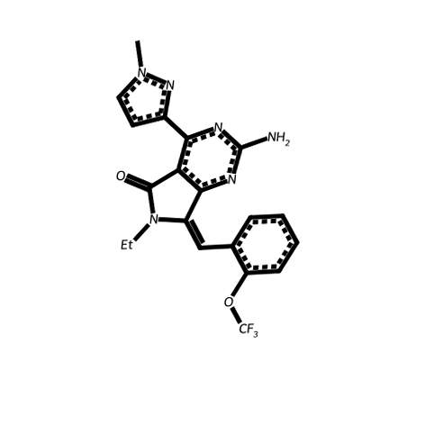 CCN1C(=O)c2c(nc(N)nc2-c2ccn(C)n2)/C1=C\c1ccccc1OC(F)(F)F